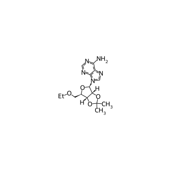 CCOC[C@H]1O[C@@H](n2cnc3c(N)ncnc32)[C@@H]2OC(C)(C)O[C@@H]21